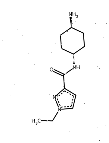 CCn1ccc(C(=O)N[C@H]2CC[C@H](N)CC2)n1